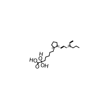 C=C[C@@H](CC=C[C@H]1CCC[C@@H]1CCCCCC(O)(O)C(=O)O)CCC